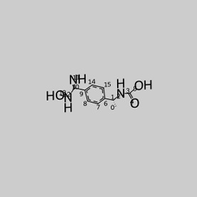 C[C@@H](NC(=O)O)c1ccc(C(=N)NO)cc1